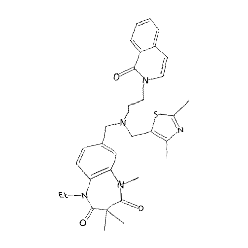 CCN1C(=O)C(C)(C)C(=O)N(C)c2cc(CN(CCn3ccc4ccccc4c3=O)Cc3sc(C)nc3C)ccc21